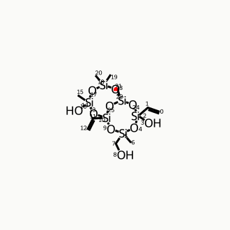 C=C[Si]1(O)O[Si](C)(CO)O[Si]2(C=C)O[Si](C)(O)O[Si](C)(C)O[Si](C)(O1)O2